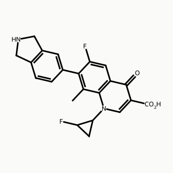 Cc1c(-c2ccc3c(c2)CNC3)c(F)cc2c(=O)c(C(=O)O)cn(C3CC3F)c12